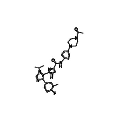 CC(=O)N1CCN(c2ccc(NC(=O)c3c[nH]c(-c4c(-c5ccc(F)c(C)c5)ncn4C(C)C)n3)cc2)CC1